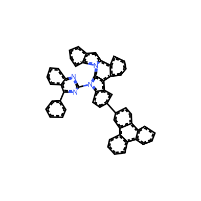 c1ccc(-c2nc(-n3c4ccc(-c5ccc6c7ccccc7c7ccccc7c6c5)cc4c4c5ccccc5c5cc6ccccc6n5c43)nc3ccccc23)cc1